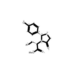 COC(=O)[C@H](CC(C)C)N1C(=O)CS[C@H]1c1ccc(Cl)cc1